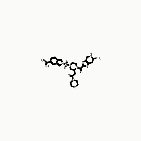 CC1Cc2nc(C(=O)N3CCN(S(=O)(=O)n4cc5ccc(C(=N)N)cc5c4)CC3CC(=O)N3CCOCC3)sc2CN1